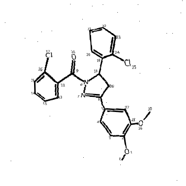 COc1ccc(C2=NN(C(=O)c3ccccc3Cl)C(c3ccccc3Cl)C2)cc1OC